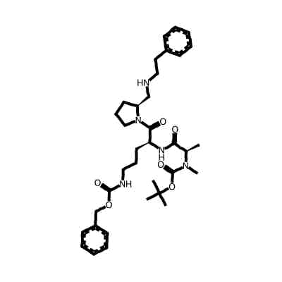 C[C@H](C(=O)N[C@@H](CCCNC(=O)OCc1ccccc1)C(=O)N1CCC[C@H]1CNCCc1ccccc1)N(C)C(=O)OC(C)(C)C